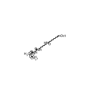 CCCCCCCCC=CCCCCCCCC(=O)NCCCCCCCCNC(=O)CCNC(=O)C1OC(C)(C)OCC1(C)C